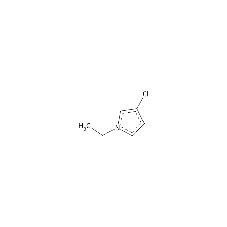 CCn1ccc(Cl)c1